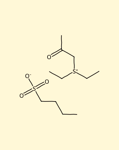 CCCCS(=O)(=O)[O-].CC[S+](CC)CC(C)=O